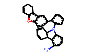 Nc1cccc2c1C1C=CC=CC1N2c1ccccc1-c1ccc2oc3c(c2c1)CCC=C3